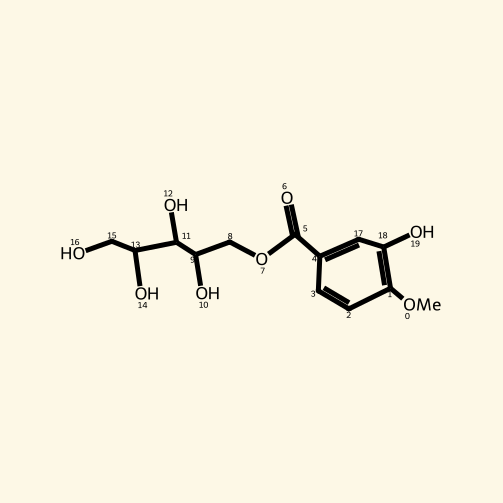 COc1ccc(C(=O)OCC(O)C(O)C(O)CO)cc1O